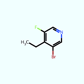 CCc1c(F)cncc1Br